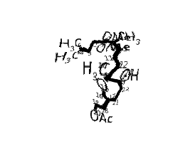 COC(CC=C(C)C)(OC)C(C)CCC[C@]1(C)OCC(=CCOC(C)=O)CC[C@H]1O